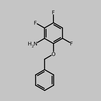 Nc1c(F)c(F)cc(F)c1OCc1ccccc1